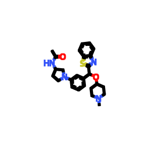 CC(=O)NC1CCN(c2cccc(C(OC3CCN(C)CC3)c3nc4ccccc4s3)c2)C1